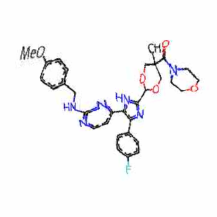 COc1ccc(CNc2nccc(-c3[nH]c(C4OCC(C)(C(=O)N5CCOCC5)CO4)nc3-c3ccc(F)cc3)n2)cc1